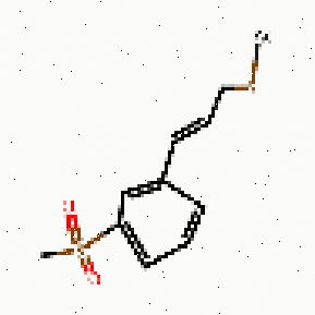 CC(=O)SCC=Cc1cccc(S(C)(=O)=O)c1